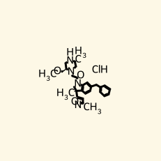 COC[C@H]1CN[C@H](C)CN1CC(=O)N1C[C@](C)(c2cc(C)no2)c2ccc(Cc3ccccc3)cc21.Cl